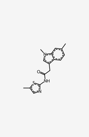 Cc1ccc2c(CC(=O)Nc3ncc(C)s3)cn(C)c2c1